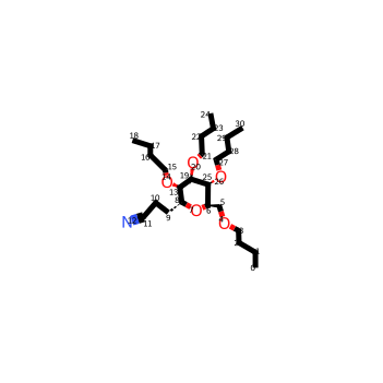 CCCCOC[C@H]1O[C@H](CCC#N)[C@@H](OCCCC)[C@@H](OCCCC)[C@@H]1OCCCC